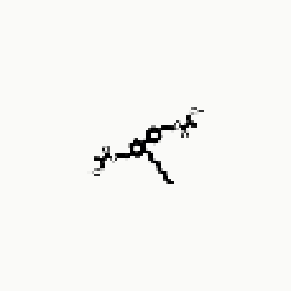 C=C(CO)C(=O)OCCc1ccc(-c2ccc(CCOC(=O)C(=C)CO)cc2CCCCCCC)cc1